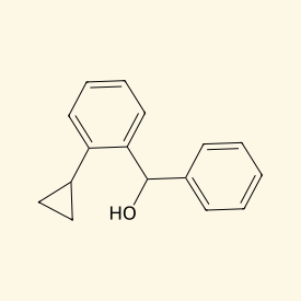 OC(c1ccccc1)c1ccccc1C1CC1